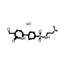 CN(C)CCNS(=O)(=O)c1ccc(-c2ccc(CCl)c(=O)[nH]2)cc1.Cl